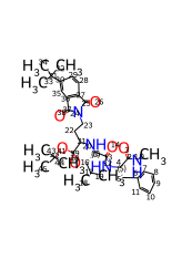 CNC(=O)[C@H](Cc1ccccc1)NC(=O)[C@H](CC(C)C)NC(CCN1C(=O)c2ccc(C(C)(C)C)cc2C1=O)C(=O)OC(C)(C)C